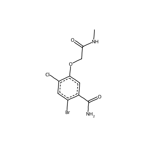 CNC(=O)COc1cc(C(N)=O)c(Br)cc1Cl